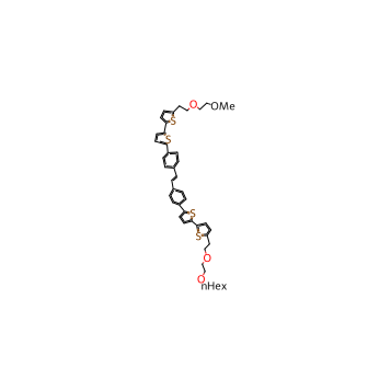 CCCCCCOCCOCCc1ccc(-c2ccc(-c3ccc(/C=C/c4ccc(-c5ccc(-c6ccc(CCOCCOC)s6)s5)cc4)cc3)s2)s1